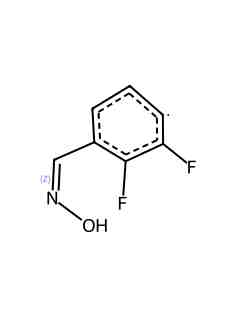 O/N=C\c1cc[c]c(F)c1F